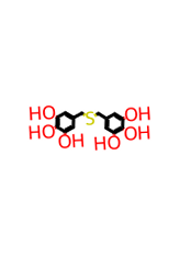 Oc1cc(CSCc2cc(O)c(O)c(O)c2)cc(O)c1O